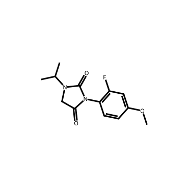 COc1ccc(N2C(=O)CN(C(C)C)C2=O)c(F)c1